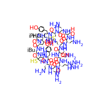 CC[C@H](C)[C@H](NC(=O)[C@@H]1C[C@@H](O)CN1C(=O)[C@@H](N)C(C)C)C(=O)N[C@H](C(=O)N[C@@H](Cc1ccc(O)cc1)C(=O)N[C@@H](CCN)C(=O)N[C@@H](CC(N)=O)C(=O)N[C@@H](CCCNC(=N)N)C(=O)N[C@@H](CCN)C(=O)N[C@H](C(=O)N[C@H](CCN)C(=O)N[C@@H](CCN)C(=O)N[C@H](C(=O)N[C@@H](CCN)C(=O)N[C@@H](CS)C(=O)N[C@@H](Cc1ccc(O)cc1)C(=O)O)[C@@H](C)O)[C@@H](C)O)C(C)(C)S